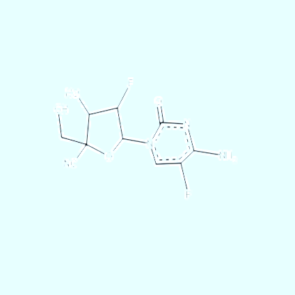 N#CC1(CO)OC(n2cc(F)c(N)nc2=O)C(F)C1O